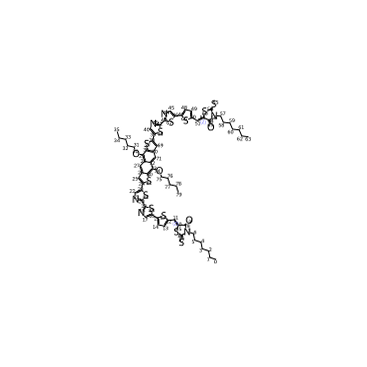 CCCCCCCN1C(=O)/C(=C/c2ccc(-c3cnc(-c4ncc(-c5cc6cc7c(OCCCCC)c8sc(-c9cnc(-c%10ncc(-c%11ccc(/C=C%12\SC(=S)N(CCCCCCC)C%12=O)s%11)s%10)s9)cc8cc7c(OCCCCC)c6s5)s4)s3)s2)SC1=S